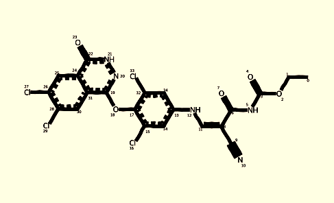 CCOC(=O)NC(=O)/C(C#N)=C\Nc1cc(Cl)c(Oc2n[nH]c(=O)c3cc(Cl)c(Cl)cc23)c(Cl)c1